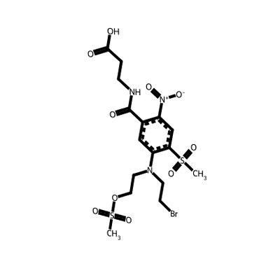 CS(=O)(=O)OCCN(CCBr)c1cc(C(=O)NCCC(=O)O)c([N+](=O)[O-])cc1S(C)(=O)=O